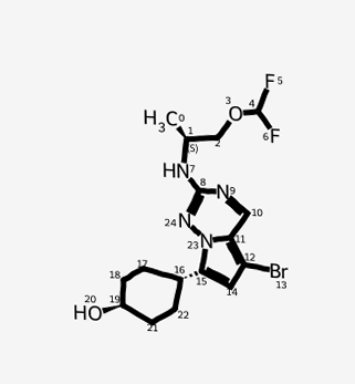 C[C@@H](COC(F)F)Nc1ncc2c(Br)cc([C@H]3CC[C@H](O)CC3)n2n1